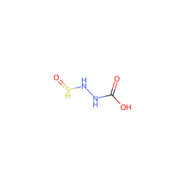 O=[SH]NNC(=O)O